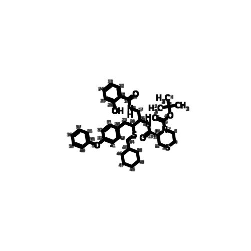 CC(C)(C)OC(=O)N1CCSC[C@H]1C(=O)NC(CNC(=O)c1ccccc1O)C(Cc1ccc(Oc2ccccc2)cc1)SCC1CCCCC1